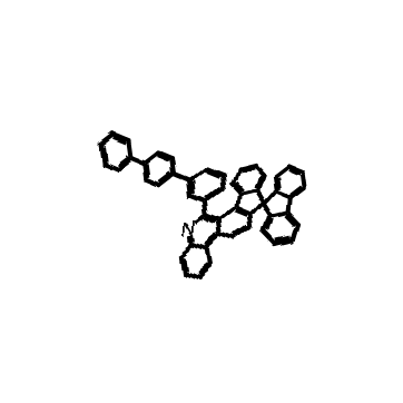 c1ccc(-c2ccc(-c3cccc(-c4nc5ccccc5c5ccc6c(c45)-c4ccccc4C64c5ccccc5-c5ccccc54)c3)cc2)cc1